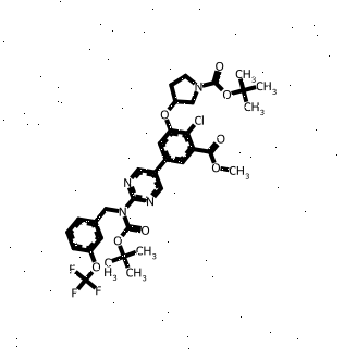 COC(=O)c1cc(-c2cnc(N(Cc3cccc(OC(F)(F)F)c3)C(=O)OC(C)(C)C)nc2)cc(OC2CCN(C(=O)OC(C)(C)C)C2)c1Cl